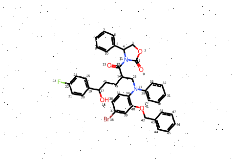 O=C1OCC(c2ccccc2)N1C(=O)C(CCC(O)c1ccc(F)cc1)CN(c1ccccc1)c1ccc(Br)cc1OCc1ccccc1